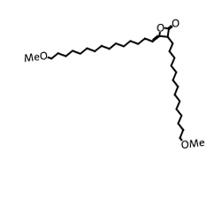 COCCCCCCCCCCCCCCC=C1OC(=O)C1CCCCCCCCCCCCCCOC